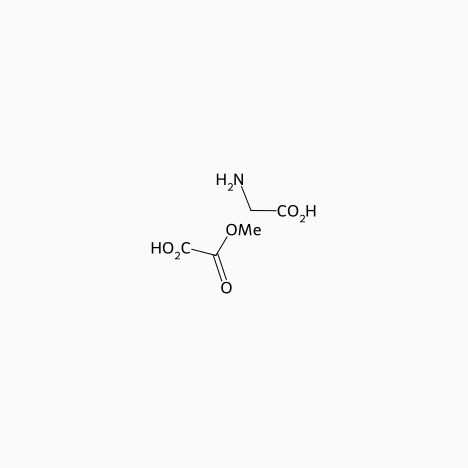 COC(=O)C(=O)O.NCC(=O)O